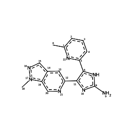 Cc1cccc(-c2[nH]c(N)nc2-c2cc3cnn(C)c3cn2)n1